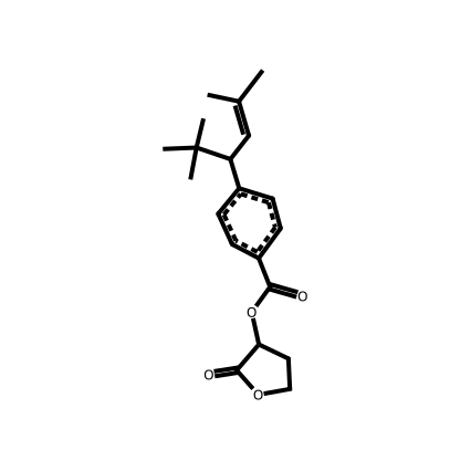 CC(C)=CC(c1ccc(C(=O)OC2CCOC2=O)cc1)C(C)(C)C